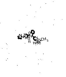 CCOP(=O)(O)c1ccc(C(NC(=O)c2cnc(-n3cccn3)nc2O)c2ccccc2)cn1